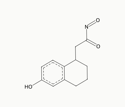 O=NC(=O)CC1CCCc2cc(O)ccc21